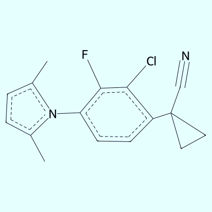 Cc1ccc(C)n1-c1ccc(C2(C#N)CC2)c(Cl)c1F